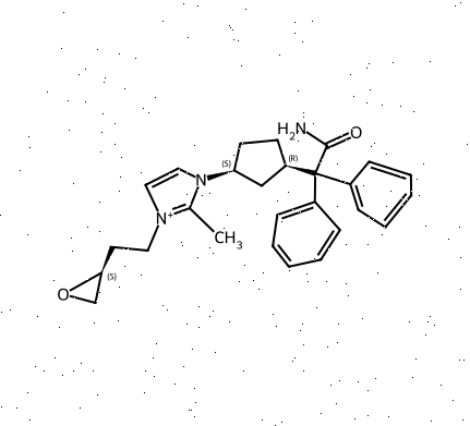 Cc1n([C@H]2CC[C@@H](C(C(N)=O)(c3ccccc3)c3ccccc3)C2)cc[n+]1CC[C@H]1CO1